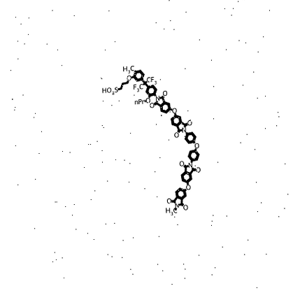 CCCOc1cc(C(c2ccc(C)c(OCCCS(=O)(=O)O)c2)(C(F)(F)F)C(F)(F)F)ccc1N1C(=O)c2ccc(Oc3ccc4c(c3)C(=O)N(c3ccc(Oc5ccc(N6C(=O)c7ccc(Oc8ccc9c(c8)C(=O)N(C)C9=O)cc7C6=O)cc5)cc3)C4=O)cc2C1=O